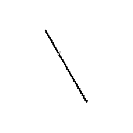 CCCCCCC=CCCCCCCCCCCCC(=O)OCCCCCCCCCCCCCCCCCCCCCCCCCCCCCCCCCCCCCCC(C)C